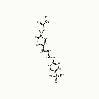 COC(=O)COc1ccc(C(C)=NOCc2ccc(C(F)(F)F)cc2)cn1